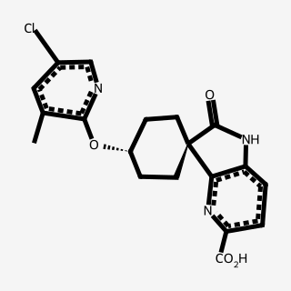 Cc1cc(Cl)cnc1O[C@H]1CC[C@@]2(CC1)C(=O)Nc1ccc(C(=O)O)nc12